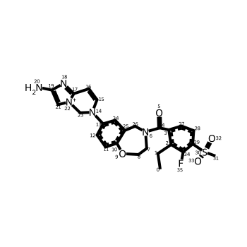 CCc1c(C(=O)N2CCOc3ccc(N4C=CC5=NC(N)=C[N+]5C4)cc3C2)ccc(S(C)(=O)=O)c1F